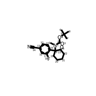 CN(C(=O)OC(C)(C)C)C1(c2ccc(C#N)cc2F)CCCCC1=O